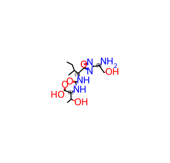 CCC(C)[C@H](NC(=O)N[C@H](C(=O)O)C(C)O)c1nc([C@@H](N)CO)no1